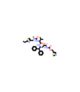 CCc1nc(CN(C)C(=O)N[C@H](C(=O)N[C@@H](C[C@H](O)[C@H](C)NC(=O)OCc2cncs2)C(c2ccccc2)c2ccccc2)C(C)C)cs1